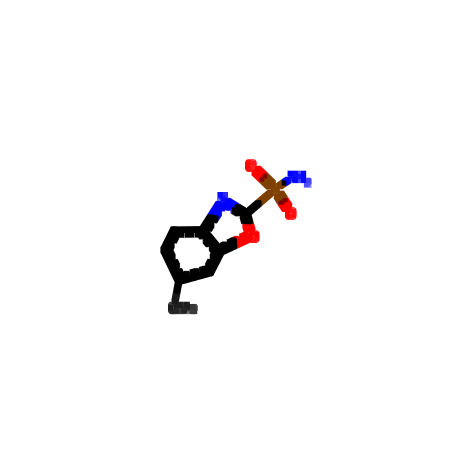 COc1ccc2nc(S(N)(=O)=O)oc2c1